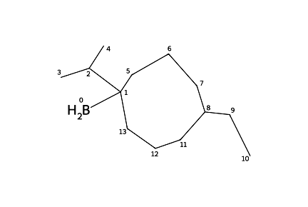 BC1(C(C)C)CCCC(CC)CCC1